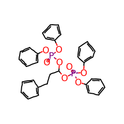 O=P(Oc1ccccc1)(Oc1ccccc1)OC(CCc1ccccc1)OP(=O)(Oc1ccccc1)Oc1ccccc1